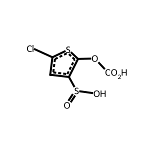 O=C(O)Oc1sc(Cl)cc1S(=O)O